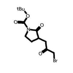 CC(C)(C)OC(=O)N1CCC(CC(=O)CBr)C1=O